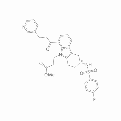 COC(=O)CCn1c2c(c3cccc(C(=O)CCc4cccnc4)c31)C[C@H](NS(=O)(=O)c1ccc(F)cc1)CC2